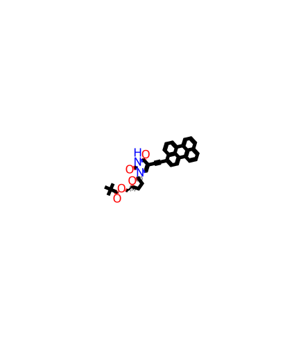 CC(C)(C)C(=O)OC[C@@H]1CC[C@H](n2cc(C#Cc3ccc4c5cccc6cccc(c7cccc3c74)c65)c(=O)[nH]c2=O)O1